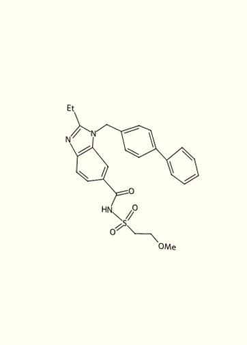 CCc1nc2ccc(C(=O)NS(=O)(=O)CCOC)cc2n1Cc1ccc(-c2ccccc2)cc1